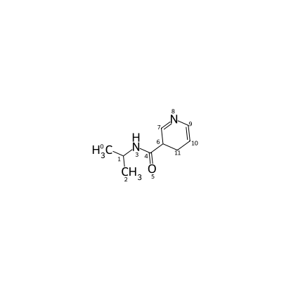 CC(C)NC(=O)C1C=NC=CC1